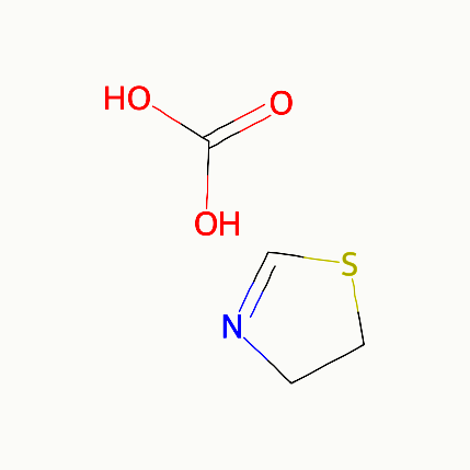 C1=NCCS1.O=C(O)O